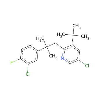 CC(C)(C)c1cc(Cl)cnc1CC(C)(C)c1ccc(F)c(Cl)c1